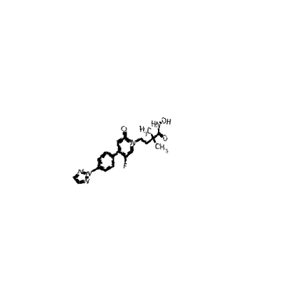 CC(C)(CCn1cc(F)c(-c2ccc(-n3nccn3)cc2)cc1=O)C(=O)NO